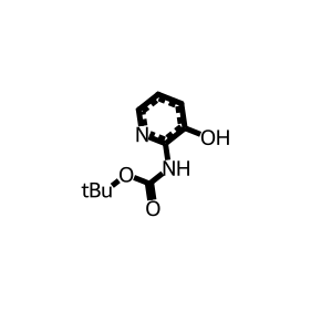 CC(C)(C)OC(=O)Nc1ncccc1O